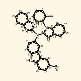 Cc1ccccc1-n1c(N(c2ccc3oc4ccc(Br)cc4c3c2)c2nc3ccccc3[nH]2)nc2ccccc21